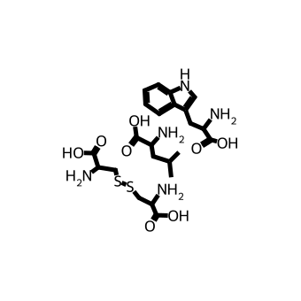 CC(C)CC(N)C(=O)O.NC(CSSCC(N)C(=O)O)C(=O)O.NC(Cc1c[nH]c2ccccc12)C(=O)O